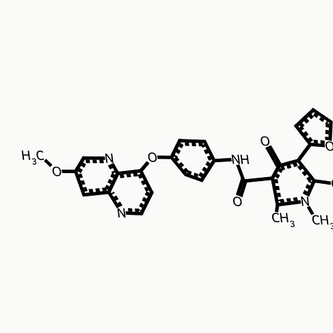 COc1cnc2c(Oc3ccc(NC(=O)c4c(C)n(C)c(C)c(-c5ccco5)c4=O)cc3)ccnc2c1